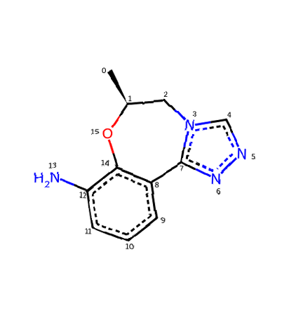 C[C@H]1Cn2cnnc2-c2cccc(N)c2O1